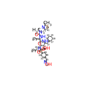 Cc1nc(CN(C)C(=O)N[C@H](C(=O)N[C@@H](Cc2ccccc2)[C@H](O)CN(CC(C)C)S(=O)(=O)c2ccc(/C=N/O)cc2)C(C)C)cs1